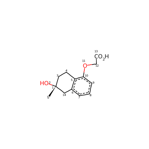 [CH2][C@@]1(O)CCc2c(cccc2OCC(=O)O)C1